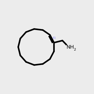 NC/C1=C/CCCCCCCCCCC1